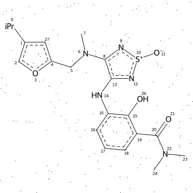 CC(C)c1coc(CN(C)c2n[s+]([O-])nc2Nc2cccc(C(=O)N(C)C)c2O)c1